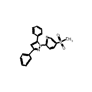 CS(=O)(=O)c1ccc(-n2nc(-c3ccccc3)cc2-c2ccccc2)nc1